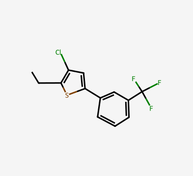 CCc1sc(-c2cccc(C(F)(F)F)c2)cc1Cl